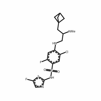 CNC(CNc1cc(F)c(S(=O)(=O)Nc2ncc(F)s2)cc1Cl)CC12CC(C1)C2